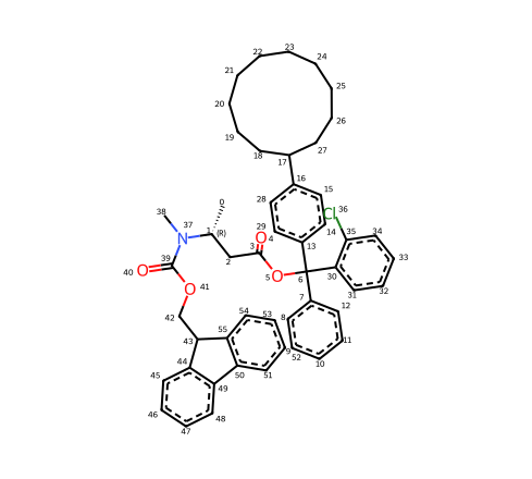 C[C@H](CC(=O)OC(c1ccccc1)(c1ccc(C2CCCCCCCCCC2)cc1)c1ccccc1Cl)N(C)C(=O)OCC1c2ccccc2-c2ccccc21